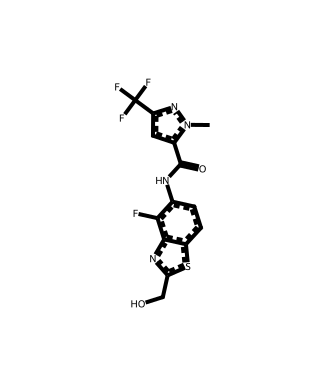 Cn1nc(C(F)(F)F)cc1C(=O)Nc1ccc2sc(CO)nc2c1F